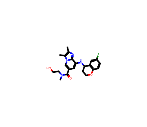 Cc1nc2c(NC3CCOc4ccc(F)cc43)cc(C(=O)N(C)CCO)cn2c1C